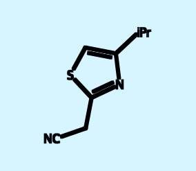 CC(C)c1csc(CC#N)n1